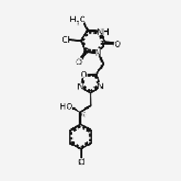 Cc1[nH]c(=O)n(Cc2nc(C[C@H](O)c3ccc(Cl)cc3)no2)c(=O)c1Cl